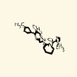 Cc1cn2nc([C@@H]3CCCCN3C(=O)c3nccn3C)cc2nc1C1CC[C@H](C)C1